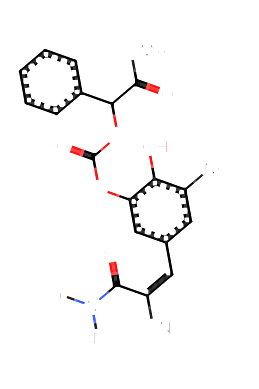 CCN(CC)C(=O)C(C#N)=Cc1cc(OC(=O)OC(C(=O)OC)c2ccccc2)c(O)c([N+](=O)[O-])c1